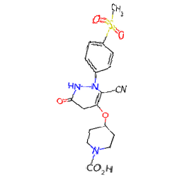 CS(=O)(=O)c1ccc(N2NC(=O)CC(OC3CCN(C(=O)O)CC3)=C2C#N)cc1